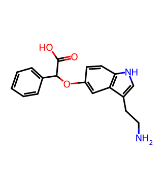 NCCc1c[nH]c2ccc(OC(C(=O)O)c3ccccc3)cc12